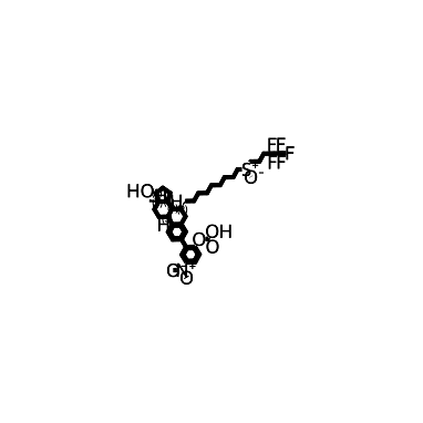 C[C@]12CC[C@@H]3c4ccc(-c5cc([N+](=O)[O-])ccc5OC(=O)O)cc4C[C@@H](CCCCCCCCC[S+]([O-])CCCC(F)(F)C(F)(F)F)[C@H]3[C@@H]1CC[C@@H]2O